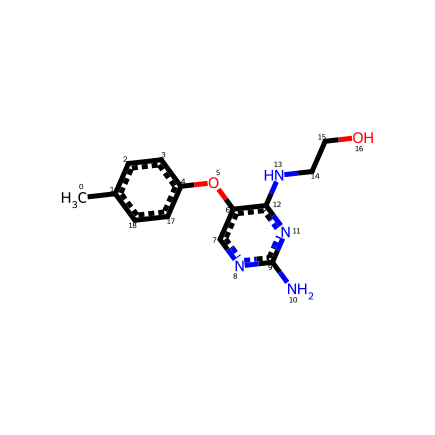 Cc1ccc(Oc2cnc(N)nc2NCCO)cc1